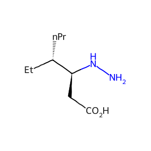 CCC[C@@H](CC)[C@H](CC(=O)O)NN